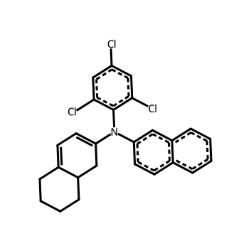 Clc1cc(Cl)c(N(C2=CC=C3CCCCC3C2)c2ccc3ccccc3c2)c(Cl)c1